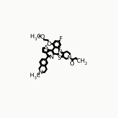 C=CC(=O)N1CCc2nc(-c3nc(-c4ccc5c(c4)CCN(C)C5)c4ccsc4c3-c3c(F)cc(F)cc3OCCOC)sc2C1